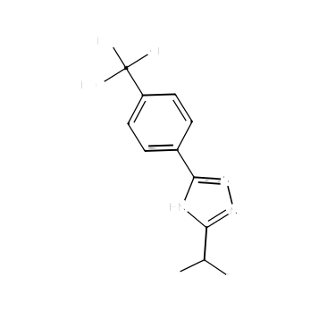 CC(C)(C)c1ccc(-c2nnc(C(F)F)[nH]2)cc1